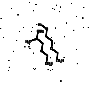 CCOCCOCC(=O)O.COC(C)COCC(=O)O